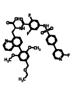 CCOCc1cc(OC)c(-c2ccc(C[C@H](NC(=O)c3c(F)cc(NS(=O)(=O)c4ccc(-c5ccnc(F)c5)cc4)cc3F)C(=O)O)c3ncccc23)c(OC)c1